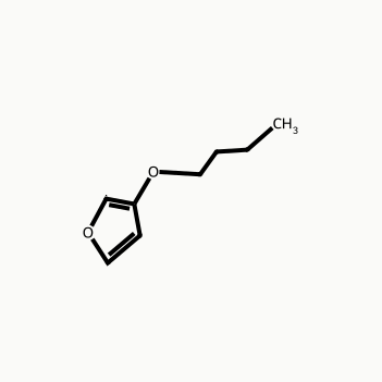 CCCCOc1[c]occ1